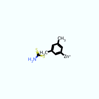 Cc1cc(C)c[c]([Zn+])c1.NC(=S)[S-]